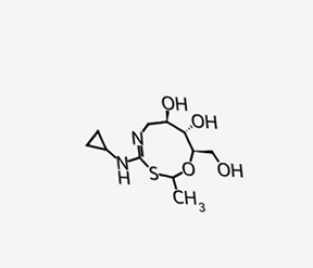 CC1O[C@H](CO)[C@@H](O)[C@H](O)C/N=C(/NC2CC2)S1